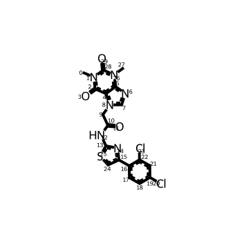 Cn1c(=O)c2c(ncn2CC(=O)Nc2nc(-c3ccc(Cl)cc3Cl)cs2)n(C)c1=O